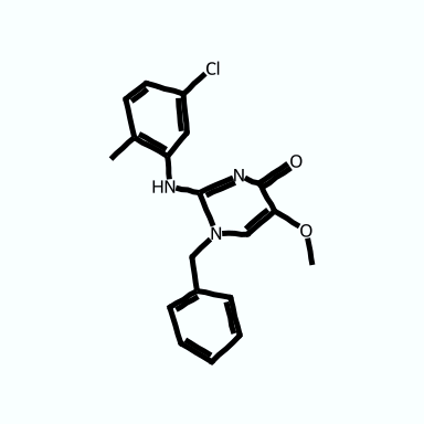 COc1cn(Cc2ccccc2)c(Nc2cc(Cl)ccc2C)nc1=O